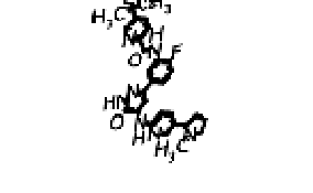 CN1CCCC1c1ccc(Nc2cc(-c3ccc(F)c(NC(=O)c4ccc(C(C)(C)C)cn4)c3)n[nH]c2=O)nc1